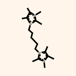 Cc1c(C)[n+](CCCCC[n+]2c(C)c(C)n(C)c2C)c(C)n1C